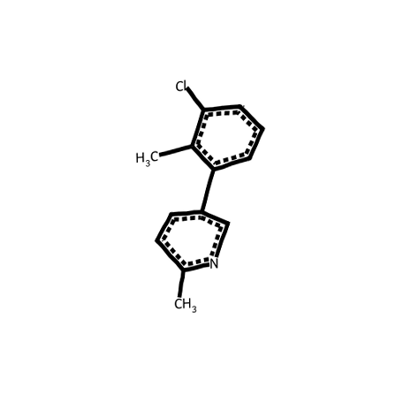 Cc1ccc(-c2cc[c]c(Cl)c2C)cn1